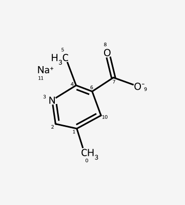 Cc1cnc(C)c(C(=O)[O-])c1.[Na+]